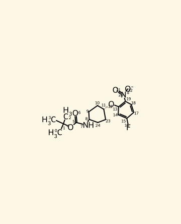 CC(C)(C)OC(=O)N[C@H]1CC[C@H](Oc2cc(F)ccc2[N+](=O)[O-])CC1